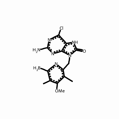 Bc1nc(Cn2c(=O)[nH]c3c(Cl)nc(N)nc32)c(C)c(OC)c1C